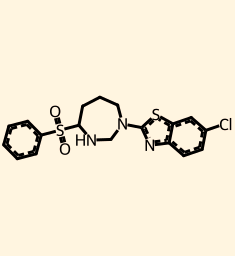 O=S(=O)(c1ccccc1)C1CCCN(c2nc3ccc(Cl)cc3s2)CN1